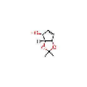 CC1(C)OC2C=C[C@H](O)[C@H]2O1